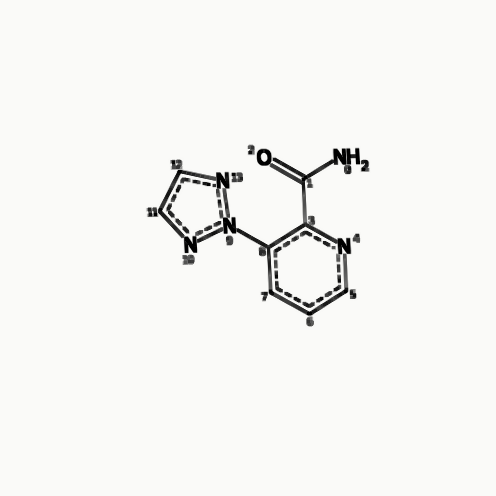 NC(=O)c1ncccc1-n1nccn1